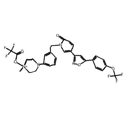 C[N+]1(OC(=O)C(F)(F)F)CCN(c2cccc(Cn3cc(-c4cc(-c5ccc(OC(F)(F)F)cc5)on4)ccc3=O)c2)CC1